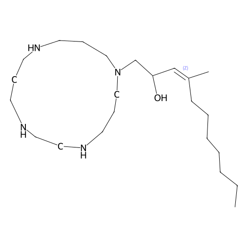 CCCCCCC/C(C)=C\C(O)CN1CCCNCCCNCCNCCC1